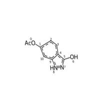 CC(=O)Oc1ccc2c(O)n[nH]c2c1